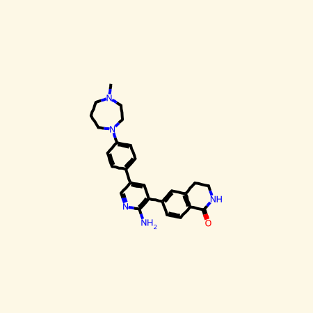 CN1CCCN(c2ccc(-c3cnc(N)c(-c4ccc5c(c4)CCNC5=O)c3)cc2)CC1